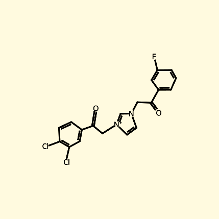 O=C(Cn1cc[n+](CC(=O)c2ccc(Cl)c(Cl)c2)c1)c1cccc(F)c1